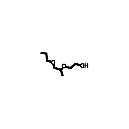 CCCOCC(C)OCCO